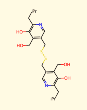 CC(C)Cc1ncc(CSSCc2cnc(CC(C)C)c(O)c2CO)c(CO)c1O